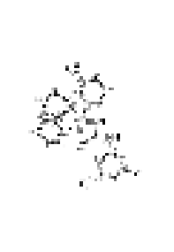 O=C(Nc1cc(F)cc(C(F)(F)F)c1)NC(Cc1ccccc1)(c1cccc(C(F)(F)F)c1)c1ccccn1